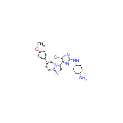 COc1ccc(-c2ccc3ncc(-c4nc(N[C@H]5CC[C@H](N)CC5)ncc4Cl)n3c2)cc1